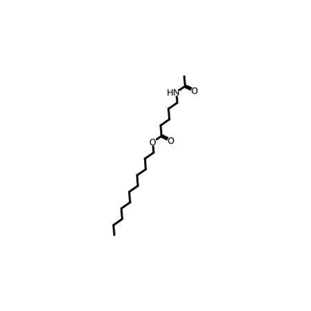 CCCCCCCCCCCOC(=O)CCCCNC(C)=O